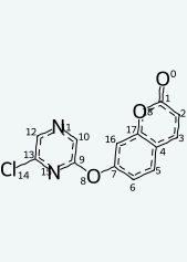 O=c1ccc2ccc(Oc3cncc(Cl)n3)cc2o1